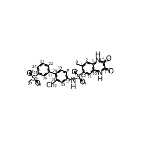 Cc1cc2[nH]c(=O)c(=O)[nH]c2cc1S(=O)(=O)Nc1ccc(-c2cccc(S(C)(=O)=O)c2)c(Cl)c1